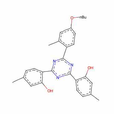 CCCCOc1ccc(-c2nc(-c3ccc(C)cc3O)nc(-c3ccc(C)cc3O)n2)c(C)c1